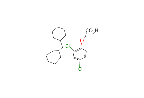 C1CCC(CC2CCCCC2)CC1.O=C(O)COc1ccc(Cl)cc1Cl